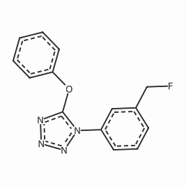 FCc1cccc(-n2nnnc2Oc2ccccc2)c1